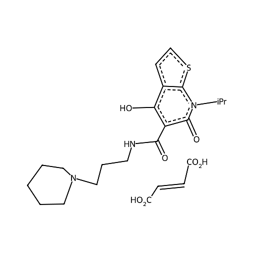 CC(C)n1c(=O)c(C(=O)NCCCN2CCCCC2)c(O)c2ccsc21.O=C(O)C=CC(=O)O